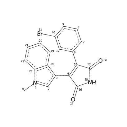 Cn1cc(C2=C(c3cccc(Br)c3)C(=O)NC2=O)c2ccccc21